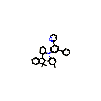 CC1C=CC2=C(C1)C1=C(C3=C(CCC=C3)N2c2cc(-c3ccccc3)cc(-c3ccccn3)c2)c2ccccc2C1(C)C